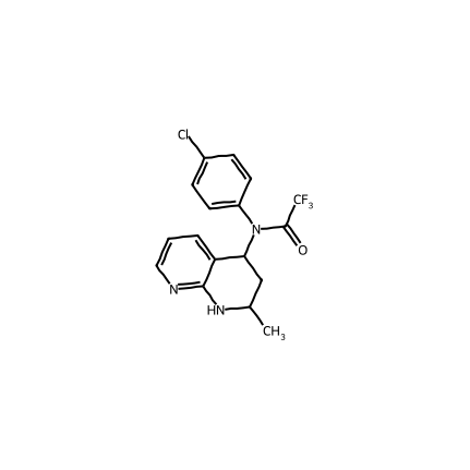 CC1CC(N(C(=O)C(F)(F)F)c2ccc(Cl)cc2)c2cccnc2N1